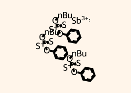 CCCCOP(=S)([S-])Oc1ccccc1.CCCCOP(=S)([S-])Oc1ccccc1.CCCCOP(=S)([S-])Oc1ccccc1.[Sb+3]